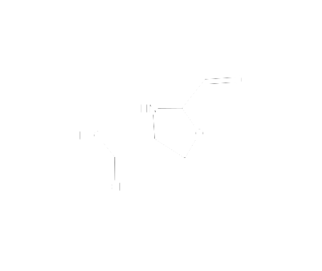 CC(C)[C@H]1COC(C=O)N1